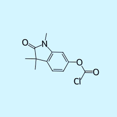 CN1C(=O)C(C)(C)c2ccc(OC(=O)Cl)cc21